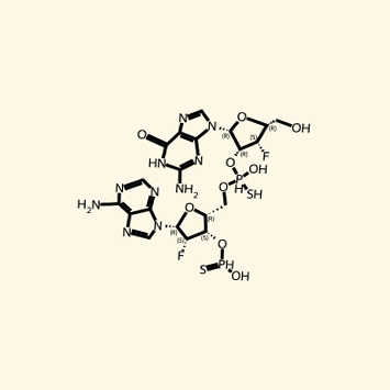 Nc1nc2c(ncn2[C@@H]2O[C@H](CO)[C@H](F)[C@@H]2O[PH](O)(S)OC[C@H]2O[C@@H](n3cnc4c(N)ncnc43)[C@@H](F)[C@H]2O[PH](O)=S)c(=O)[nH]1